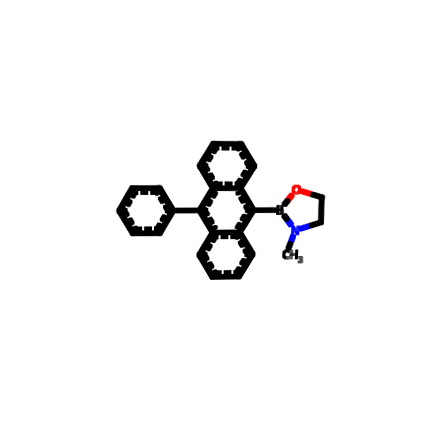 CN1CCOB1c1c2ccccc2c(-c2ccccc2)c2ccccc12